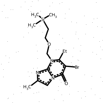 CCc1c(Br)c(=O)n2cc(C)nc2n1COCC[Si](C)(C)C